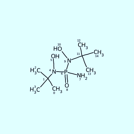 CC(C)(C)N(O)P(N)(=O)N(O)C(C)(C)C